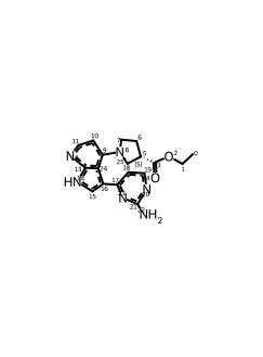 CCOC(=O)[C@H]1CCN(c2ccnc3[nH]cc(-c4ccnc(N)n4)c23)C1